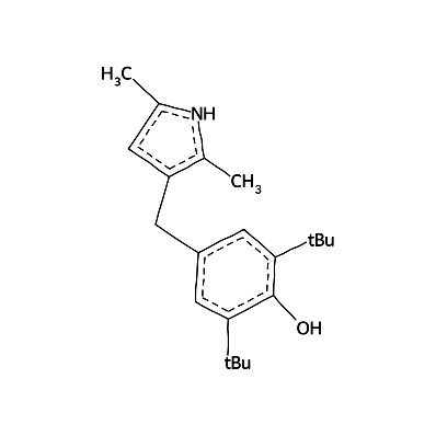 Cc1cc(Cc2cc(C(C)(C)C)c(O)c(C(C)(C)C)c2)c(C)[nH]1